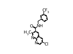 Cc1nc2ncc(Cl)cc2cc1C(=O)NCc1cccc(C(F)(F)F)c1